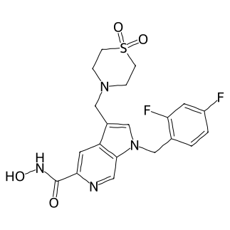 O=C(NO)c1cc2c(CN3CCS(=O)(=O)CC3)cn(Cc3ccc(F)cc3F)c2cn1